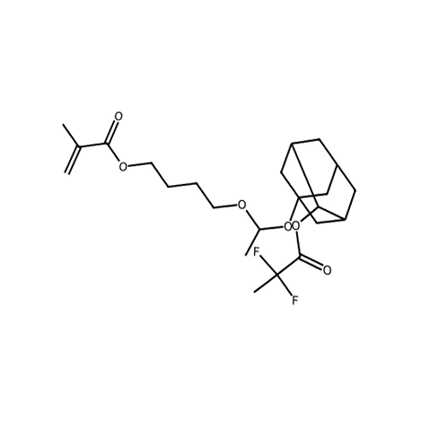 C=C(C)C(=O)OCCCCOC(C)OC12CC3CC(C1)C(OC(=O)C(C)(F)F)C(C3)C2